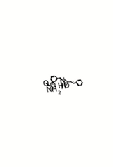 NC(=O)Oc1cccc(CNC[C@H](O)[CH]Cc2ccccc2)c1